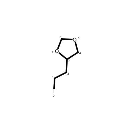 ICCC1COCO1